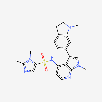 Cc1ncc(S(=O)(=O)Nc2ccnc3c2c(-c2ccc4c(c2)N(C)CC4)cn3C)n1C